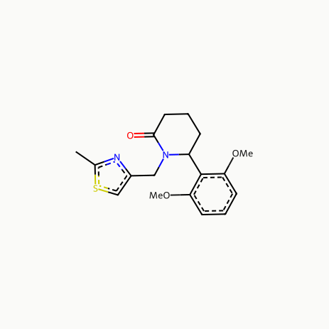 COc1cccc(OC)c1C1CCCC(=O)N1Cc1csc(C)n1